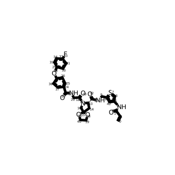 C=CC(=O)Nc1csc(CNC(=O)[C@@H]2CC3(CN2C(=O)CNC(=O)c2ccc(Oc4ccc(F)cc4)cc2)OCCO3)c1